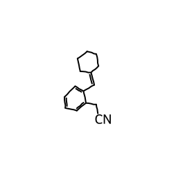 N#CCc1ccccc1C=C1CCCCC1